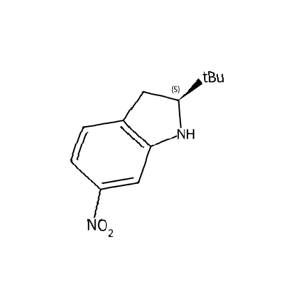 CC(C)(C)[C@@H]1Cc2ccc([N+](=O)[O-])cc2N1